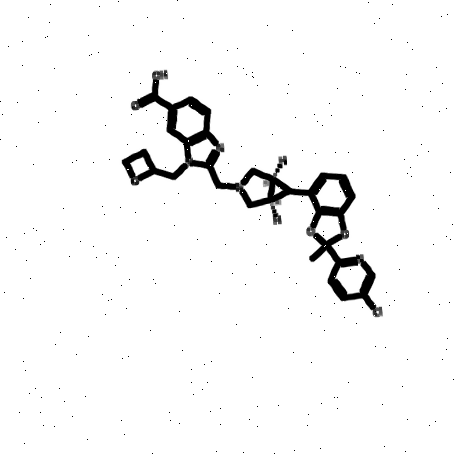 CC1(c2ccc(Cl)cn2)Oc2cccc(C3[C@H]4CN(Cc5nc6ccc(C(=O)O)cc6n5CC5CCO5)C[C@@H]34)c2O1